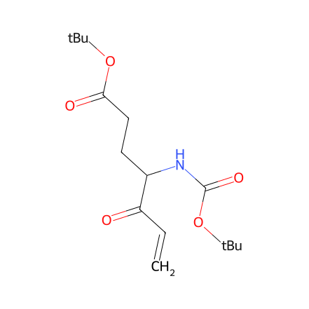 C=CC(=O)C(CCC(=O)OC(C)(C)C)NC(=O)OC(C)(C)C